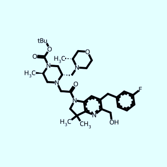 C[C@@H]1COCCN1C[C@H]1CN(C(=O)OC(C)(C)C)[C@H](C)CN1CC(=O)N1CC(C)(C)c2nc(CO)c(Cc3cccc(F)c3)cc21